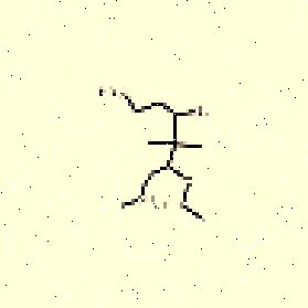 CC[C@H](CCC(=O)O)C(C)(C)C(O[SiH2]C)O[SiH2]C